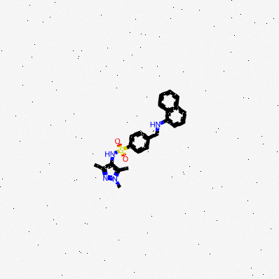 Cc1nn(C)c(C)c1NS(=O)(=O)c1ccc(CNc2cccc3ccccc23)cc1